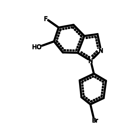 Oc1cc2c(cnn2-c2ccc(Br)cc2)cc1F